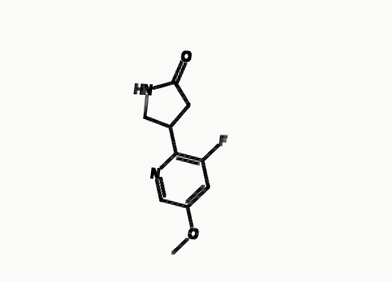 COc1cnc(C2CNC(=O)C2)c(F)c1